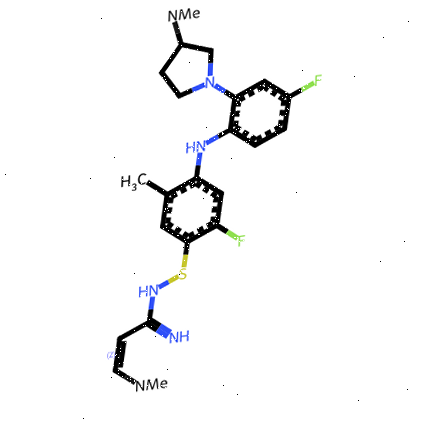 CN/C=C\C(=N)NSc1cc(C)c(Nc2ccc(F)cc2N2CCC(NC)C2)cc1F